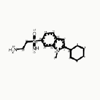 Cn1c(C2CCCCC2)cc2ccc(S(=N)(=O)CCN)cc21